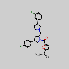 CCC(NC)c1ccc(C(=O)N2C[C@@H](c3ccc(F)cc3)C[C@H]2CN2CCC(c3cccc(F)c3)C2)o1